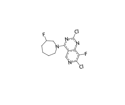 Fc1c(Cl)ncc2c(N3CCCCC(F)C3)nc(Cl)nc12